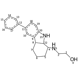 OCCNC1CCCC2c3cc(-c4ccccc4)ccc3NC12